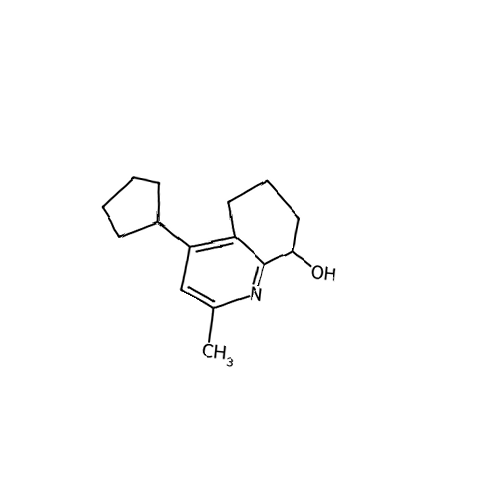 Cc1cc(C2CCCC2)c2c(n1)C(O)CCC2